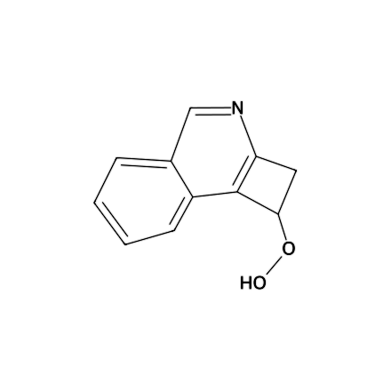 OOC1Cc2ncc3ccccc3c21